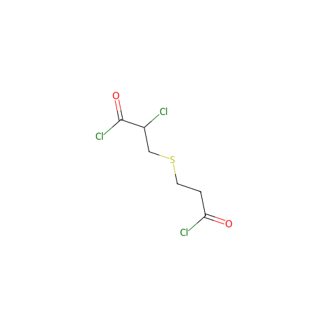 O=C(Cl)CCSCC(Cl)C(=O)Cl